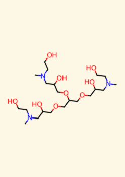 CN(CCO)CC(O)COCC(COCC(O)CN(C)CCO)OCC(O)CN(C)CCO